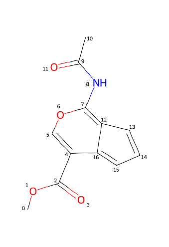 COC(=O)c1coc(NC(C)=O)c2cccc1-2